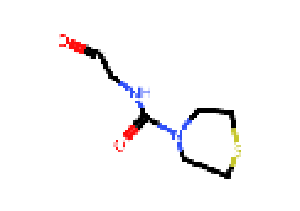 O=[C]CNC(=O)N1CCSCC1